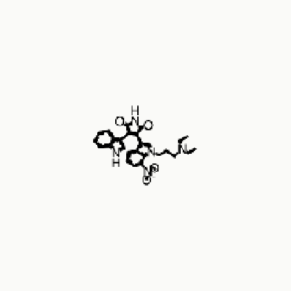 CCN(CC)CCCn1cc(C2=C(c3c[nH]c4ccccc34)C(=O)NC2=O)c2cccc([N+](=O)[O-])c21